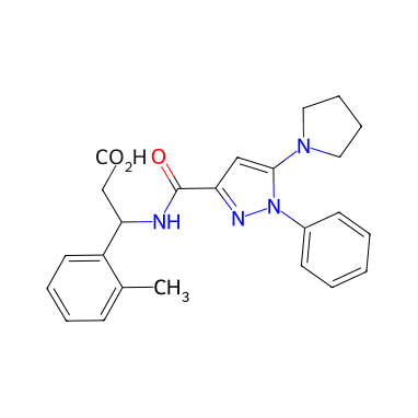 Cc1ccccc1C(CC(=O)O)NC(=O)c1cc(N2CCCC2)n(-c2ccccc2)n1